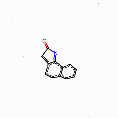 O=C1C=c2ccc3ccccc3c2=N1